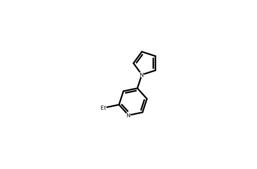 CCc1cc(-n2cccc2)ccn1